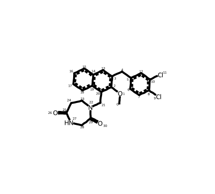 COc1c(Cc2ccc(Cl)c(Cl)c2)cc2ccccc2c1CN1CCC(=O)NCC1=O